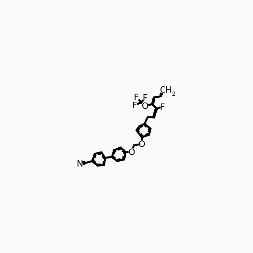 C=C/C=C(OC(F)(F)F)\C(F)=C/Cc1ccc(OCOc2ccc(-c3ccc(C#N)cc3)cc2)cc1